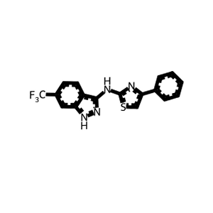 FC(F)(F)c1ccc2c(Nc3nc(-c4ccccc4)cs3)n[nH]c2c1